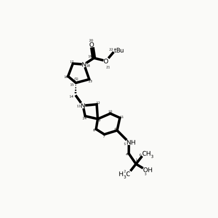 CC(C)(O)CNC1CCC2(CC1)CN(C[C@@H]1CCN(C(=O)OC(C)(C)C)C1)C2